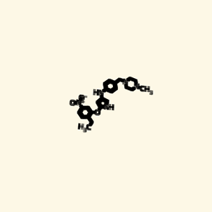 CCc1ccc([N+](=O)[O-])cc1Oc1cc(Nc2ccc(CN3CCN(C)CC3)cc2)c[nH]1